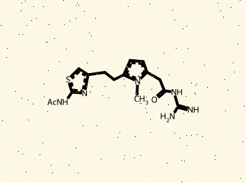 CC(=O)Nc1nc(CCc2ccc(CC(=O)NC(=N)N)n2C)cs1